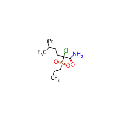 CC(C)C(CCC(Cl)(C(N)=O)S(=O)(=O)CCC(F)(F)F)C(F)(F)F